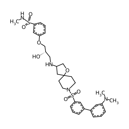 CNS(=O)(=O)c1cccc(OC[C@@H](O)CNC2COC3(CCN(S(=O)(=O)c4cccc(-c5cccc(N(C)C)c5)c4)CC3)C2)c1